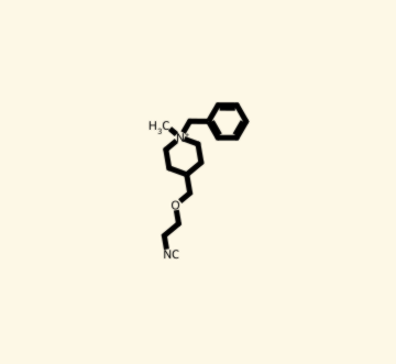 [C-]#[N+]CCOCC1CC[N+](C)(Cc2ccccc2)CC1